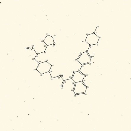 CN1CCN(c2ccc(-c3cc(C(=O)NCC4CCC(CN(CC5CCCO5)C(=O)O)CC4)c4ccccc4n3)cn2)CC1